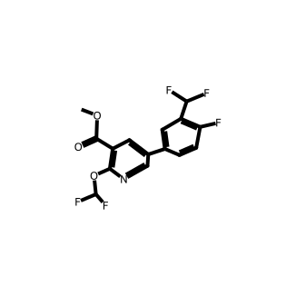 COC(=O)c1cc(-c2ccc(F)c(C(F)F)c2)cnc1OC(F)F